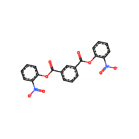 O=C(Oc1ccccc1[N+](=O)[O-])c1cccc(C(=O)Oc2ccccc2[N+](=O)[O-])c1